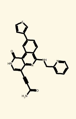 NC(=O)C#Cc1c[nH]c(=O)c2c1nc(NCc1ccccn1)c1ccc(-c3ccsc3)cc12